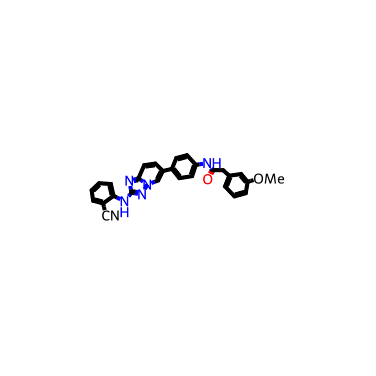 COc1cccc(CC(=O)Nc2ccc(-c3ccc4nc(Nc5ccccc5C#N)nn4c3)cc2)c1